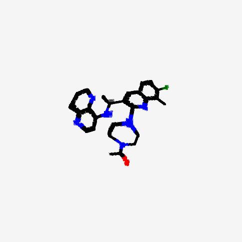 CC(=O)N1CCN(c2nc3c(C)c(F)ccc3cc2[C@H](C)Nc2ccnc3cccnc23)CC1